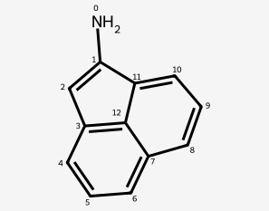 NC1=Cc2cccc3cccc1c23